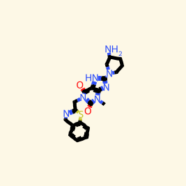 Cn1c(=O)n(CC2=NCc3ccccc3S2)c(=O)c2[nH]c(N3CCCC(N)C3)nc21